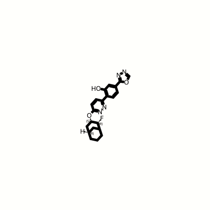 Oc1cc(-c2nnco2)ccc1-c1ccc(O[C@H]2C[C@@H]3CCCC(C3)[C@H]2F)nn1